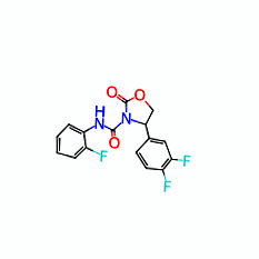 O=C(Nc1ccccc1F)N1C(=O)OCC1c1ccc(F)c(F)c1